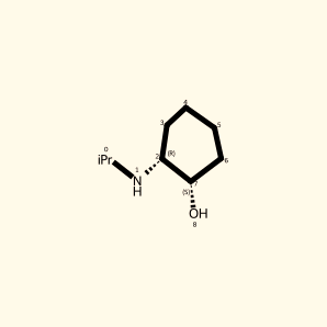 CC(C)N[C@@H]1CCCC[C@@H]1O